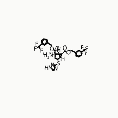 N[C@@]1(C(=O)OCc2cccc(C(F)(F)F)c2)C[C@H](Sc2nc[nH]n2)[C@H]2[C@H](C(=O)OCc3cccc(C(F)(F)F)c3)[C@H]21